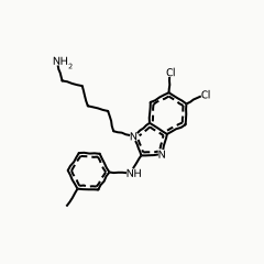 Cc1cccc(Nc2nc3cc(Cl)c(Cl)cc3n2CCCCCN)c1